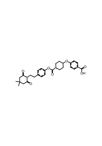 CC1(C)CC(=O)N(CCc2ccc(OC(=O)N3CCC(Oc4ccc(C(=O)O)cc4)CC3)cc2)C(=O)C1